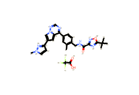 Cc1cc(-c2ncnn3cc(-c4ccn(C)n4)cc23)ccc1CNC(=O)c1noc(C(C)(C)C)n1.O=C(O)C(F)(F)F